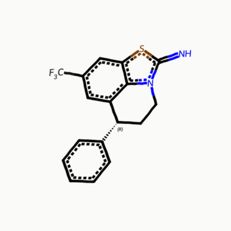 N=c1sc2cc(C(F)(F)F)cc3c2n1CC[C@@H]3c1ccccc1